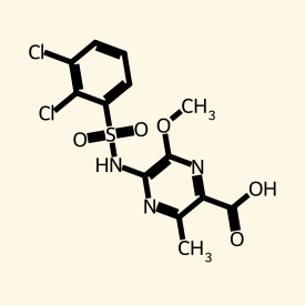 COc1nc(C(=O)O)c(C)nc1NS(=O)(=O)c1cccc(Cl)c1Cl